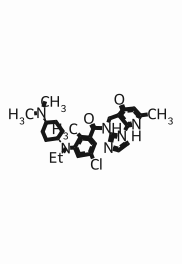 CCN(c1cc(Cl)cc(C(=O)NCc2c(-n3ccnc3)[nH]c(C)cc2=O)c1C)[C@H]1CC[C@H](N(C)C)CC1